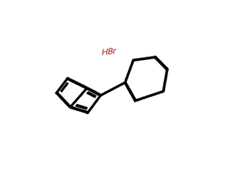 Br.c1cc2c(C3CCCCC3)cc1-2